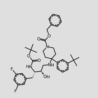 CC(C)(C)OC(=O)N[C@@H](Cc1cc(F)cc(F)c1)[C@H](O)CNC1(c2cccc(C(C)(C)C)c2)CCN(C(=O)OCc2ccccc2)CC1